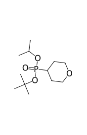 CC(C)OP(=O)(OC(C)(C)C)C1CCOCC1